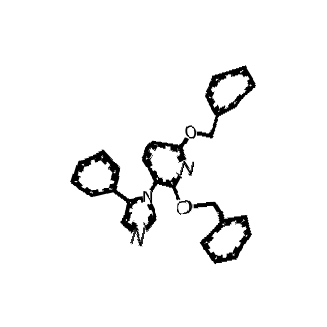 c1ccc(COc2ccc(-n3cncc3-c3ccccc3)c(OCc3ccccc3)n2)cc1